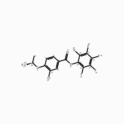 C[C@@H](Oc1ccc(C(=O)Oc2c(F)c(F)c(F)c(F)c2F)cc1Cl)C(F)(F)F